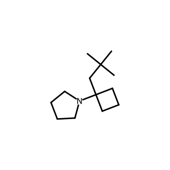 CC(C)(C)CC1(N2CCCC2)CCC1